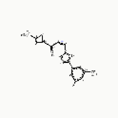 Cc1cc(-c2ncn(/C=C\C(=O)N3CC(C(=O)O)C3)n2)cc(C(F)(F)F)c1